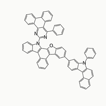 c1ccc(-c2nc(-n3c4ccccc4c4c5ccccc5c5c6cc(-c7ccc8c9c%10ccccc%10ccc9n(-c9ccccc9)c8c7)ccc6oc5c43)nc3c4ccccc4c4ccccc4c23)cc1